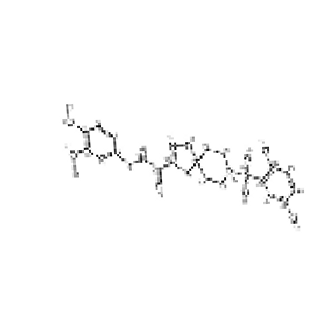 COc1ccc(CNC(=O)C2=NOC3(CCN(S(=O)(=O)c4cc(Cl)ccc4Cl)CC3)C2)cc1OC